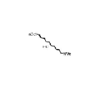 CCCCCCCCC=CCCCCCCCCNC.Cl